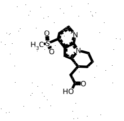 CS(=O)(=O)c1ccnc2c1cc1n2CCCC1CC(=O)O